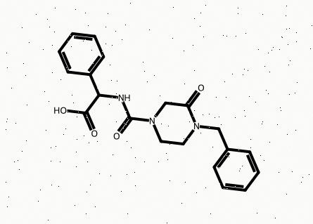 O=C(O)C(NC(=O)N1CCN(Cc2ccccc2)C(=O)C1)c1ccccc1